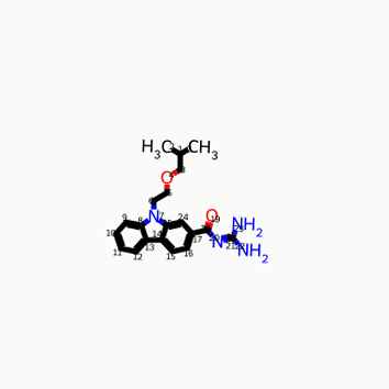 CC(C)COCCn1c2ccccc2c2ccc(C(=O)N=C(N)N)cc21